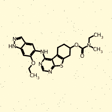 CCOc1cc2[nH]ncc2cc1Nc1ncnc2sc3c(c12)CCC(OC(=O)N(C)CC)C3